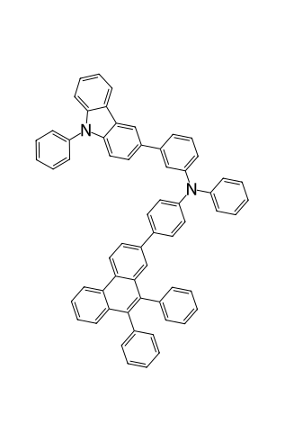 c1ccc(-c2c(-c3ccccc3)c3cc(-c4ccc(N(c5ccccc5)c5cccc(-c6ccc7c(c6)c6ccccc6n7-c6ccccc6)c5)cc4)ccc3c3ccccc23)cc1